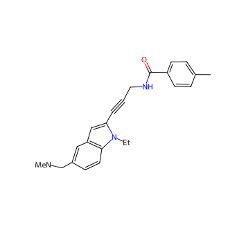 CCn1c(C#CCNC(=O)c2ccc(C)cc2)cc2cc(CNC)ccc21